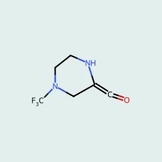 O=C=C1CN(C(F)(F)F)CCN1